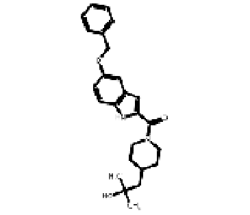 CC(C)(O)CC1CCN(C(=O)c2cc3cc(OCc4ccccc4)ccc3[nH]2)CC1